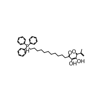 C=C(C)C(=O)/C(O)=C(/O)C(=O)CCCCCCCCCCC[PH](c1ccccc1)(c1ccccc1)c1ccccc1